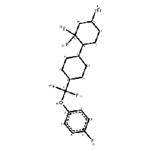 CCCC1CCC(C2CCC(C(F)(F)Oc3ccc(F)cc3)CC2)C(F)(F)C1